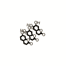 O=c1ccc2cc(O)c(O)cc2o1.O=c1ccc2cc(O)c(O)cc2o1.O=c1ccc2ccc(O)cc2o1